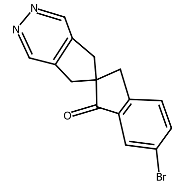 O=C1c2cc(Br)ccc2CC12Cc1cnncc1C2